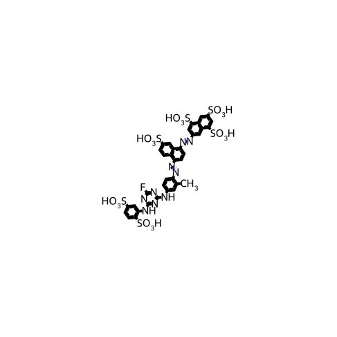 Cc1cc(Nc2nc(F)nc(Nc3cc(S(=O)(=O)O)ccc3S(=O)(=O)O)n2)ccc1/N=N/c1ccc(/N=N/c2cc(S(=O)(=O)O)c3cc(S(=O)(=O)O)cc(S(=O)(=O)O)c3c2)c2cc(S(=O)(=O)O)ccc12